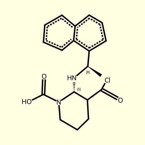 C[C@@H](N[C@@H]1C(C(=O)Cl)CCCN1C(=O)O)c1cccc2ccccc12